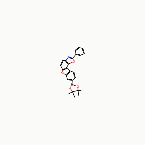 CC1(C)OB(c2ccc3c(c2)oc2ccc4nc(-c5ccccc5)oc4c23)OC1(C)C